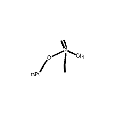 C=P(C)(O)OCCC